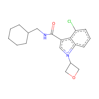 O=C(NCC1CCCCC1)c1cn(C2COC2)c2cccc(Cl)c12